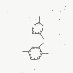 COc1ccc([N+](=O)[O-])cc1Oc1cnc(N)s1